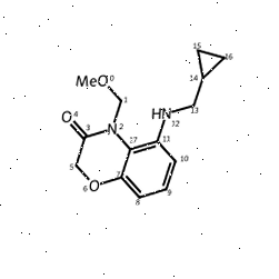 COCN1C(=O)COc2cccc(NCC3CC3)c21